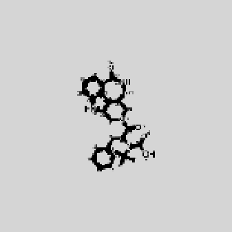 CC(C)(C)N(C(=O)O)[C@@H](Cc1ccccc1)C(=O)N1CC2=NNC(=O)c3cccc4[nH]c(c2c34)C1